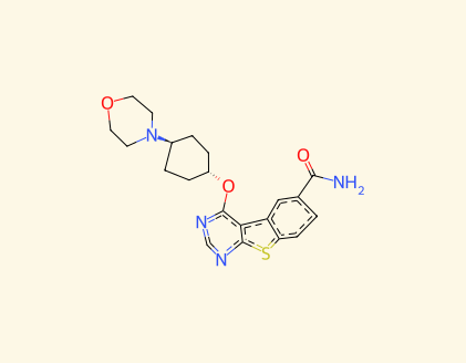 NC(=O)c1ccc2sc3ncnc(O[C@H]4CC[C@H](N5CCOCC5)CC4)c3c2c1